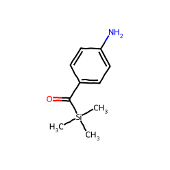 C[Si](C)(C)C(=O)c1ccc(N)cc1